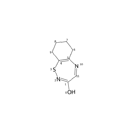 OC1=NSC2=C(CCCC2)N=C1